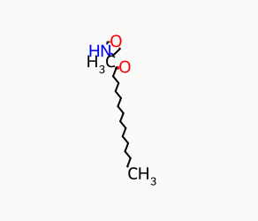 C1COCN1.CCCCCCCCCCCCCCC(C)=O